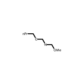 CCCCOC[N]COC